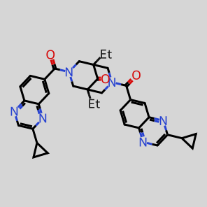 CCC12CN(C(=O)c3ccc4ncc(C5CC5)nc4c3)CC(CC)(CN(C(=O)c3ccc4ncc(C5CC5)nc4c3)C1)C2=O